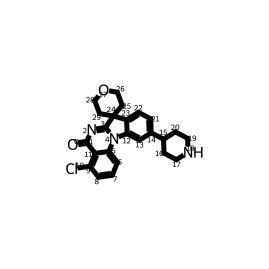 O=c1nc2n(c3cccc(Cl)c13)-c1cc(C3CCNCC3)ccc1C21CCOCC1